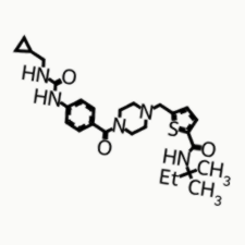 CCC(C)(C)NC(=O)c1ccc(CN2CCN(C(=O)c3ccc(NC(=O)NCC4CC4)cc3)CC2)s1